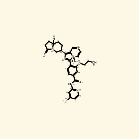 N[N+]12C=CN=CC1=C([C@@H]1CC[C@H]3CCC(=O)N3C1)N=C2c1ccc(C(=O)Nc2cc(C(F)(F)F)ccn2)cc1OCCO